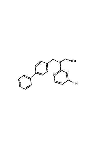 CC(C)(C)CN(Cc1ccc(-c2ccccc2)cc1)c1nccc(C#N)n1